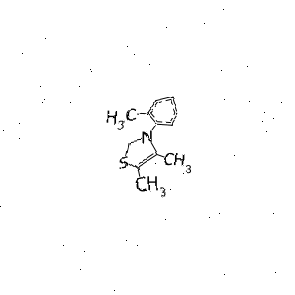 CC1=C(C)N(c2ccccc2C)CS1